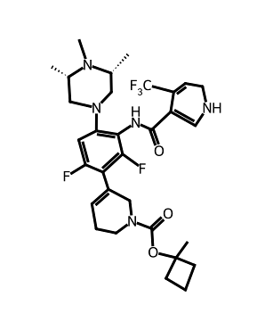 C[C@@H]1CN(c2cc(F)c(C3=CCCN(C(=O)OC4(C)CCC4)C3)c(F)c2NC(=O)C2=CNCC=C2C(F)(F)F)C[C@H](C)N1C